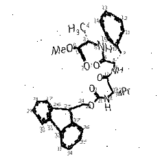 COC(=O)[C@H](C)NC(=O)[C@H](Cc1ccccc1)NC(=O)[C@@H](NC(=O)OCC1c2ccccc2-c2ccccc21)C(C)C